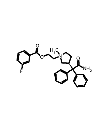 C[N+]1(CCOC(=O)c2cccc(F)c2)CC[C@@H](C(C(N)=O)(c2ccccc2)c2ccccc2)C1